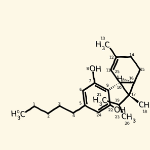 CCCCCc1cc(O)c([C@]23C=C(C)CC[C@H]2[C@]3(C)C(C)C)c(O)c1